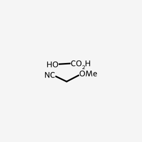 COCC#N.O=C(O)O